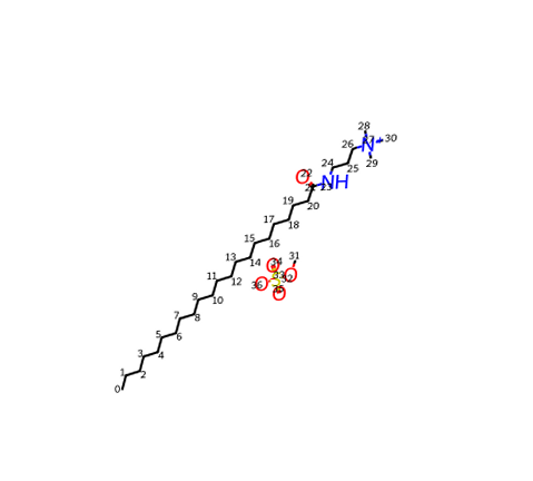 CCCCCCCCCCCCCCCCCCCCCC(=O)NCCC[N+](C)(C)C.COS(=O)(=O)[O-]